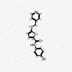 O=C(Nc1ccc(Br)cc1)c1ccc(SCc2ccncc2)s1